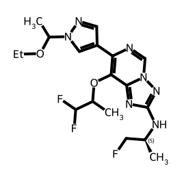 CCOC(C)n1cc(-c2ncn3nc(N[C@@H](C)CF)nc3c2OC(C)C(F)F)cn1